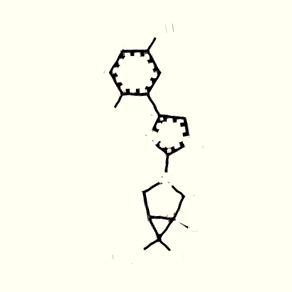 CCOC(=O)C1(C)C2CN(c3nc(-c4cc(C)ccc4O)cs3)C[C@@H]21